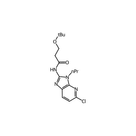 CCCn1c(NC(=O)CCOC(C)(C)C)nc2ccc(Cl)nc21